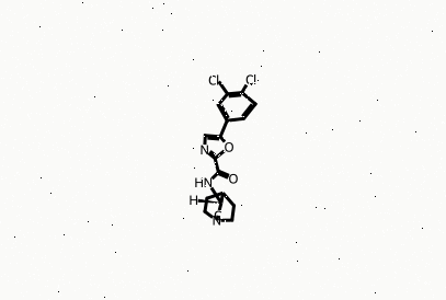 O=C(N[C@H]1CN2CCC1CC2)c1ncc(-c2ccc(Cl)c(Cl)c2)o1